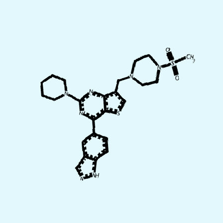 CS(=O)(=O)N1CCN(Cc2csc3c(-c4ccc5[nH]ncc5c4)nc(N4CCCCC4)nc23)CC1